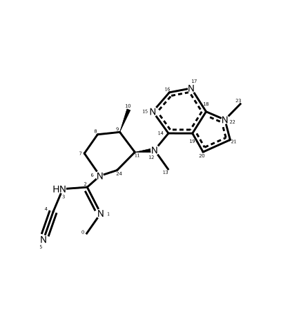 CN=C(NC#N)N1CC[C@@H](C)[C@@H](N(C)c2ncnc3c2ccn3C)C1